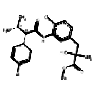 C[C@H]([C@H](C(=O)Nc1cc(CC(C)(C)C(=O)OC(C)(C)C)ccc1Cl)C1C=CC(Cl)=CC1)C(F)(F)F